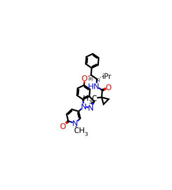 CC(C)[C@H](NC(=O)C1(C)CC1)[C@H](Oc1ccc2c(cnn2-c2ccc(=O)n(C)c2)c1)c1ccccc1